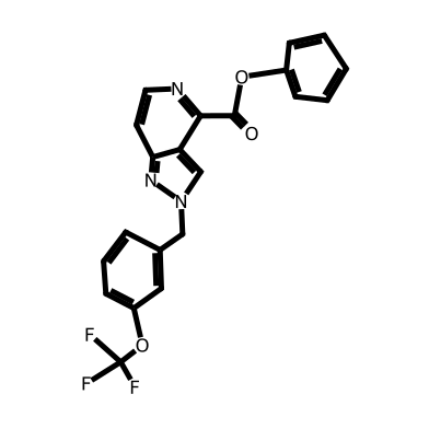 O=C(Oc1ccccc1)c1nccc2nn(Cc3cccc(OC(F)(F)F)c3)cc12